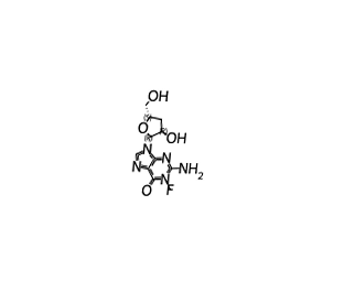 Nc1nc2c(ncn2[C@@H]2O[C@H](CO)C[C@H]2O)c(=O)n1F